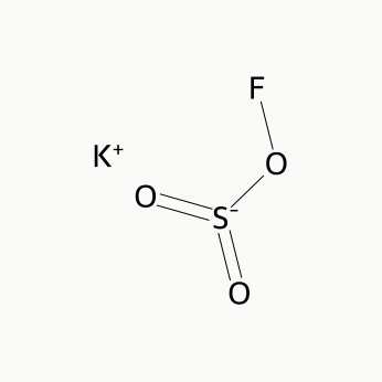 O=[S-](=O)OF.[K+]